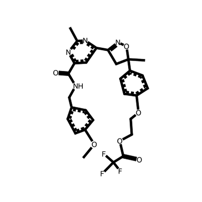 COc1ccc(CNC(=O)c2cc(C3=NOC(C)(c4ccc(OCCOC(=O)C(F)(F)F)cc4)C3)nc(C)n2)cc1